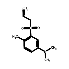 C=CCS(=O)(=O)c1cc(N(C)C)ccc1C